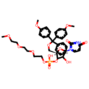 COCCOCCOCCOP(=O)(O)OC1C(O)[C@H](n2ccc(=O)[nH]c2=O)O[C@@H]1COC(c1ccccc1)(c1ccc(OC)cc1)c1ccc(OC)cc1